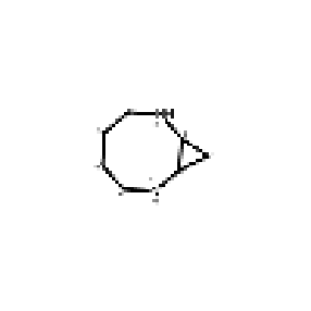 C1CCNC2CC2NC1